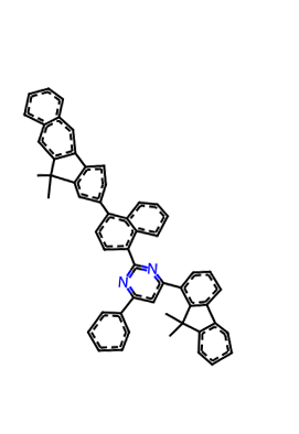 CC1(C)c2cc(-c3ccc(-c4nc(-c5ccccc5)cc(-c5cccc6c5C(C)(C)c5ccccc5-6)n4)c4ccccc34)ccc2-c2cc3ccccc3cc21